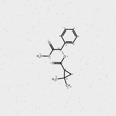 COC(=O)[C@@H](OC(=O)C1CC1(C)C)c1ccccc1